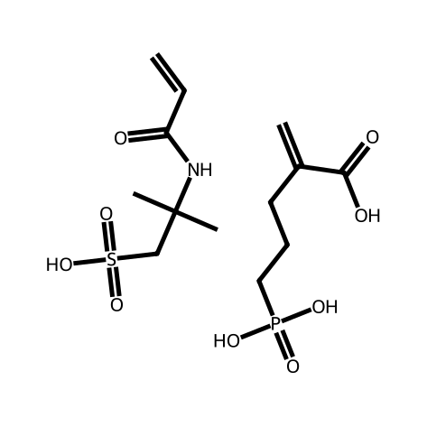 C=C(CCCP(=O)(O)O)C(=O)O.C=CC(=O)NC(C)(C)CS(=O)(=O)O